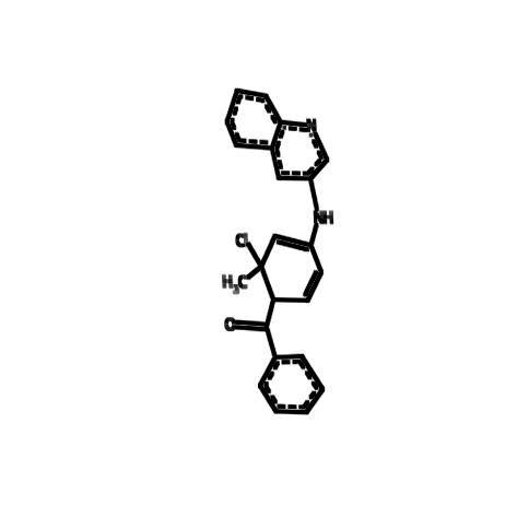 CC1(Cl)C=C(Nc2cnc3ccccc3c2)C=CC1C(=O)c1ccccc1